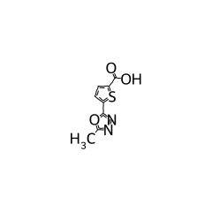 Cc1nnc(-c2ccc(C(=O)O)s2)o1